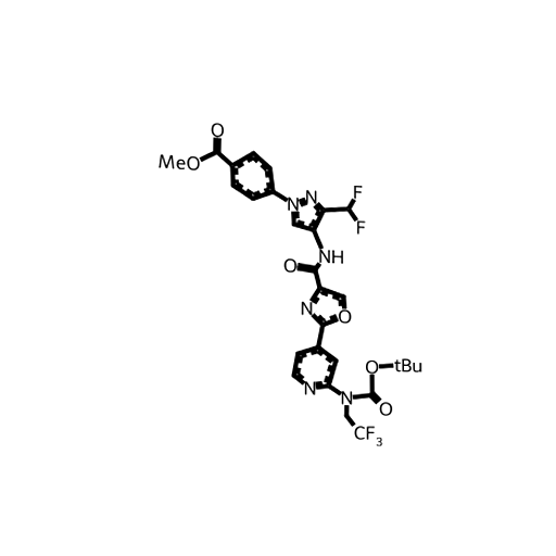 COC(=O)c1ccc(-n2cc(NC(=O)c3coc(-c4ccnc(N(CC(F)(F)F)C(=O)OC(C)(C)C)c4)n3)c(C(F)F)n2)cc1